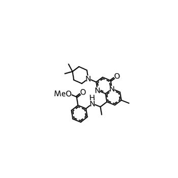 COC(=O)c1ccccc1NC(C)c1cc(C)cn2c(=O)cc(N3CCC(C)(C)CC3)nc12